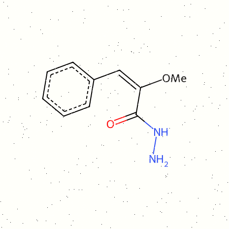 COC(=Cc1ccccc1)C(=O)NN